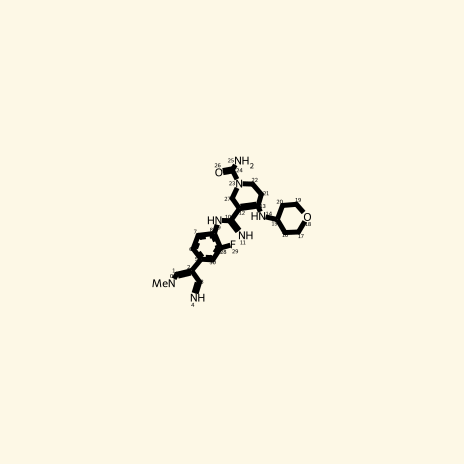 CN/C=C(\C=N)c1ccc(NC(=N)C2=C(NC3CCOCC3)CCN(C(N)=O)C2)c(F)c1